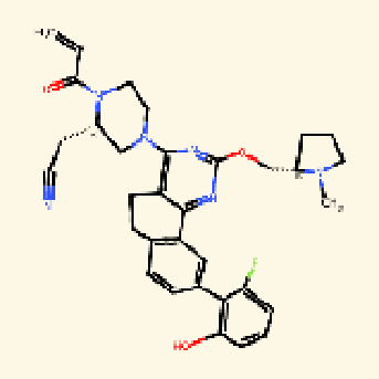 C=CC(=O)N1CCN(c2nc(OC[C@@H]3CCCN3C)nc3c2CCc2ccc(-c4c(O)cccc4F)cc2-3)C[C@@H]1CC#N